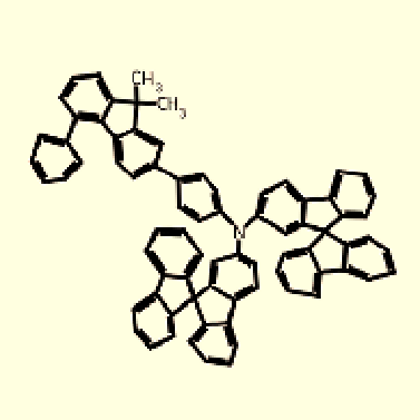 CC1(C)c2cc(-c3ccc(N(c4ccc5c(c4)C4(c6ccccc6-c6ccccc64)c4ccccc4-5)c4ccc5c(c4)C4(c6ccccc6-c6ccccc64)c4ccccc4-5)cc3)ccc2-c2c(-c3ccccc3)cccc21